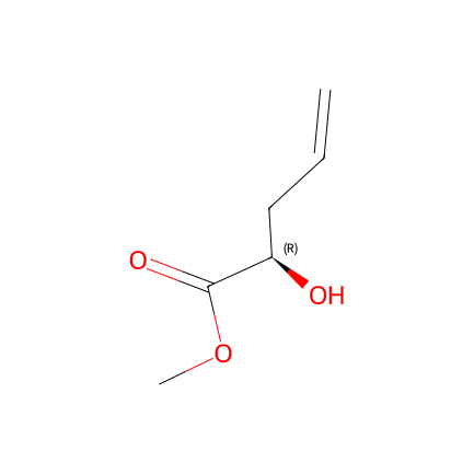 C=CC[C@@H](O)C(=O)OC